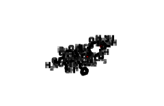 CCC(C)C(NC(=O)C(Cc1ccccc1)NC)C(=O)NC(CO)C(=O)NC(CCC(N)=O)C(=O)NC(C(=O)NC(C(=O)NC(CO)C(=O)NC1C(=O)NC(C)C(=O)NC(CC2CNC(=N)N2)C(=O)NC(C(C)CC)C(=O)OC1C)C(C)CC)C(C)CC